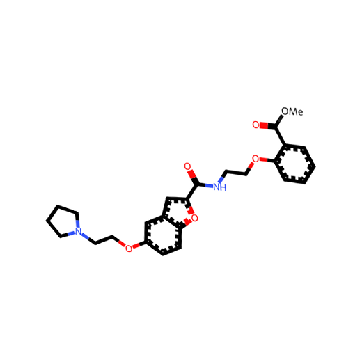 COC(=O)c1ccccc1OCCNC(=O)c1cc2cc(OCCN3CCCC3)ccc2o1